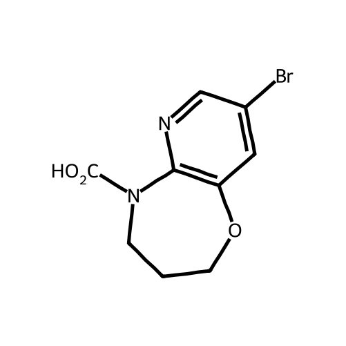 O=C(O)N1CCCOc2cc(Br)cnc21